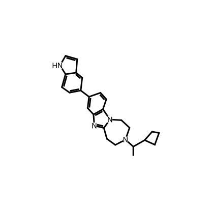 CC(C1CCC1)N1CCc2nc3cc(-c4ccc5[nH]ccc5c4)ccc3n2CC1